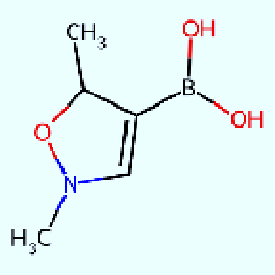 CC1ON(C)C=C1B(O)O